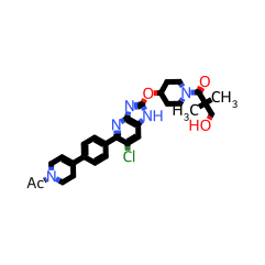 CC(=O)N1CC=C(c2ccc(-c3nc4nc(OC5CCN(C(=O)C(C)(C)CO)CC5)[nH]c4cc3Cl)cc2)CC1